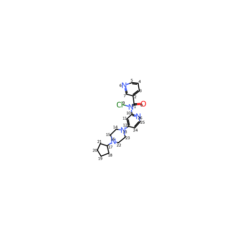 O=C(c1cccnc1)N(Cl)c1cc(N2CCN(C3CCCC3)CC2)ccn1